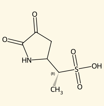 C[C@H](C1CC(=O)C(=O)N1)S(=O)(=O)O